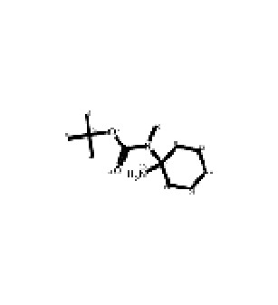 CN(C(=O)OC(C)(C)C)C1(N)CCCCC1